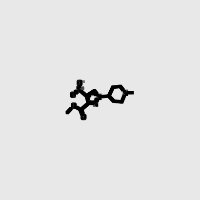 COC(=O)c1nn(C2CCN(C)CC2)cc1[N+](=O)[O-]